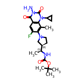 Cc1c(N2CC[C@@H]([C@H](C)NC(=O)OC(C)(C)C)C2)c(F)cc2c(=O)n(N)c(=O)n(C3CC3)c12